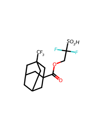 O=C(OCC(F)(F)S(=O)(=O)O)C12CC3CC(C1)CC(C(F)(F)F)(C3)C2